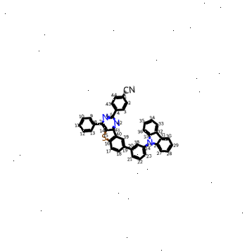 N#Cc1ccc(-c2nc(-c3ccccc3)c3sc4ccc(-c5cccc(-n6c7ccccc7c7ccccc76)c5)cc4c3n2)cc1